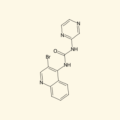 O=C(Nc1cnccn1)Nc1c(Br)cnc2ccccc12